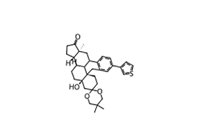 CC1(C)COC2(CC[C@@]34Cc5cc(-c6ccsc6)ccc5C5C[C@]6(C)C(=O)CC[C@H]6[C@H](CC[C@@]3(O)C2)C54)OC1